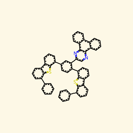 c1ccc(-c2cccc3c2sc2c(-c4ccc(-c5cccc6c5sc5c(-c7ccccc7)cccc56)c(-c5cnc6c7ccccc7c7ccccc7c6n5)c4)cccc23)cc1